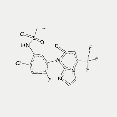 CCS(=O)(=O)Nc1cc(-n2c(=O)cc(C(F)(F)F)n3ccnc23)c(F)cc1Cl